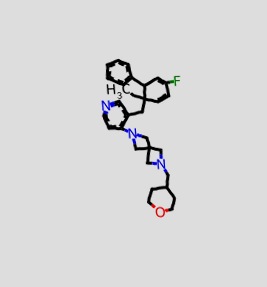 CCC1(Cc2cnccc2N2CC3(CN(CC4CCOCC4)C3)C2)C=CC(F)=CC1c1ccccc1